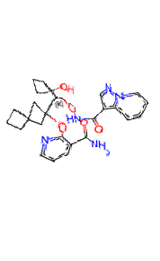 NC(=O)c1cccnc1OC1([C@H](ONC(=O)c2cnn3ccccc23)C2(O)CCC2)CC2(CCC2)C1